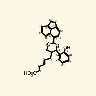 O=C(O)CCC=CCC1COC(c2ccc3c4c(cccc24)CC3)OC1c1ccccc1O